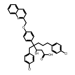 O=C(O)CC(S)C(CCCc1ccc(Cl)cc1)(Cc1ccc(Cl)cc1)c1ccc(OCc2ccc3ccccc3n2)cc1